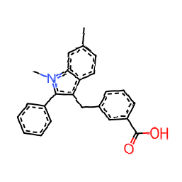 Cc1ccc2c(Cc3cccc(C(=O)O)c3)c(-c3ccccc3)n(C)c2c1